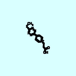 CSc1nnc(-c2cc[n+](CCC(=O)O)cc2)nn1